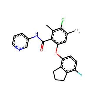 Cc1c(Cl)c(C(F)(F)F)cc(Oc2ccc(F)c3c2CCC3)c1C(=O)Nc1cccnc1